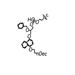 CCCCCCCCCCCCOc1ccc(OCC(COP(O)OCC[N+](C)(C)C)OCc2ccccc2)c2ccccc12